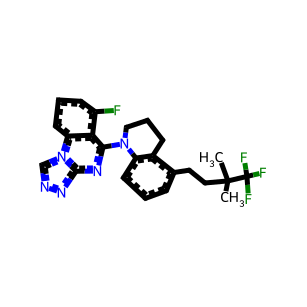 CC(C)(CCc1cccc2c1CCCN2c1nc2nncn2c2cccc(F)c12)C(F)(F)F